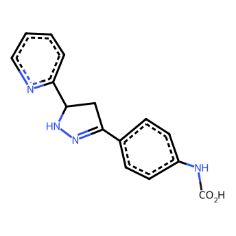 O=C(O)Nc1ccc(C2=NNC(c3ccccn3)C2)cc1